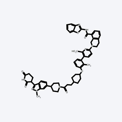 Cc1c(OC2CCC(CCC(=O)N3CCC(c4ccc5c(C6CCC(=O)NC6=O)nn(C)c5c4)CC3)CC2)cccc1-c1ccc(N2CCc3cccc(C(=O)Nc4nc5ccccc5s4)c3C2)nc1C(=O)O